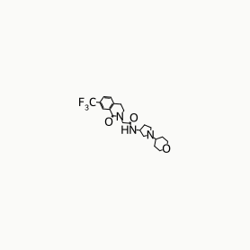 O=C(CN1CCc2ccc(C(F)(F)F)cc2C1=O)NC1CCN(C2CCOCC2)C1